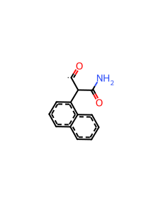 NC(=O)C([C]=O)c1cccc2ccccc12